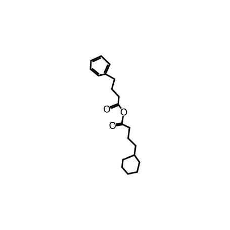 O=C(CCCc1ccccc1)OC(=O)CCCC1CCCCC1